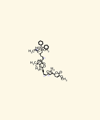 C/C=C\C[C@@H](C/C=C\NC(=O)[C@@H](NC(=O)C#C/C=C\C(C)=C\[C@H](C)[C@@H]1CC=C(OC)C(=O)O1)C(C)(C)C)CC(C)(C)[Si](O)(c1ccccc1)c1ccccc1